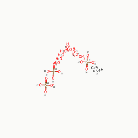 O.O.O.O.O.O.O.O.O.O=S(=O)([O-])[O-].O=S(=O)([O-])[O-].O=S(=O)([O-])[O-].[Ga+3].[Ga+3]